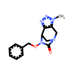 Cn1nnc2c1CN1CC2N(OCc2ccccc2)C1=O